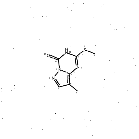 CSc1nc2c(C)cnn2c(=O)[nH]1